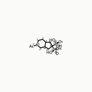 CC(=O)N1CCC2CC(P(=O)(O)O)(P(=O)(O)O)CC2C1